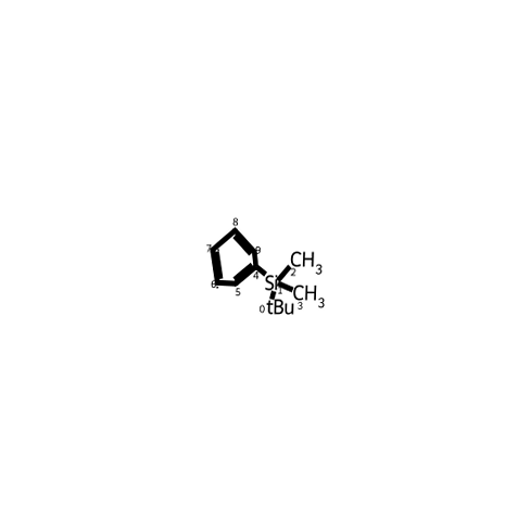 CC(C)(C)[Si](C)(C)c1c[c][c]cc1